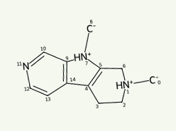 [CH2-][NH+]1CCC2=C(C1)[NH+]([CH2-])c1cnccc12